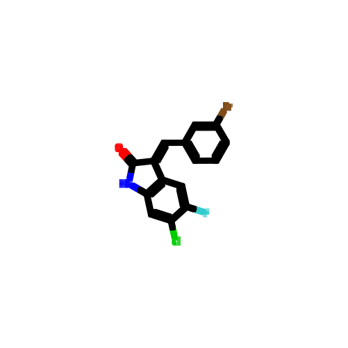 O=C1Nc2cc(Cl)c(F)cc2/C1=C\c1cccc(Br)c1